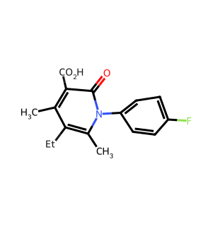 CCc1c(C)c(C(=O)O)c(=O)n(-c2ccc(F)cc2)c1C